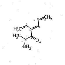 BN(C)C(=O)/C(C=C)=C/C=C